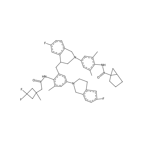 Cc1cc(N2Cc3ccc(F)cc3C(Cc3cc(N4CCc5cc(F)ccc5C4)cc(C)c3NC(=O)CC3(C)CC(F)(F)C3)C2)cc(C)c1NC(=O)C12CCCC1C2